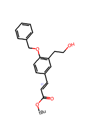 CC(C)(C)OC(=O)/C=C/c1ccc(OCc2ccccc2)c(CCO)c1